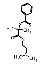 CN(C)CCNC(=O)C(C)(C)SC(=S)c1ccccc1